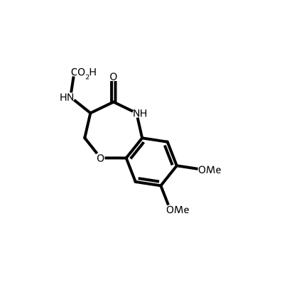 COc1cc2c(cc1OC)OCC(NC(=O)O)C(=O)N2